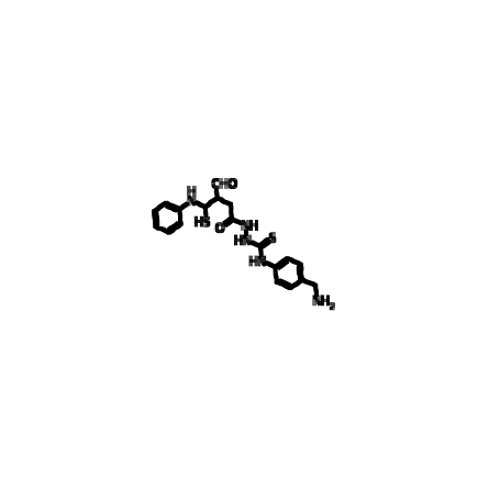 NCc1ccc(NC(=S)NNC(=O)CC(C=O)C(S)Nc2ccccc2)cc1